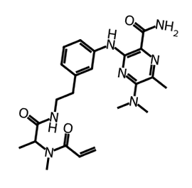 C=CC(=O)N(C)C(C)C(=O)NCCc1cccc(Nc2nc(N(C)C)c(C)nc2C(N)=O)c1